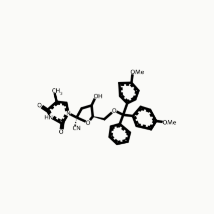 COc1ccc(C(OC[C@H]2O[C@@](C#N)(n3cc(C)c(=O)[nH]c3=O)CC2O)(c2ccccc2)c2ccc(OC)cc2)cc1